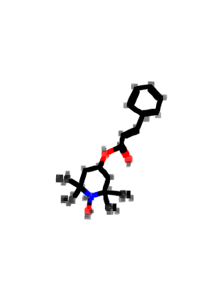 CC1(C)CC(OC(=O)C=Cc2ccccc2)CC(C)(C)N1[O]